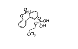 O=P(O)(O)OCCC(Cl)(Cl)Cl.O=[PH]1Oc2ccccc2-c2ccccc21